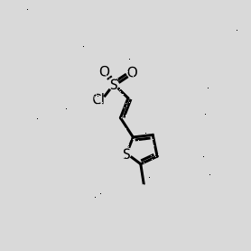 Cc1ccc(/C=C/S(=O)(=O)Cl)s1